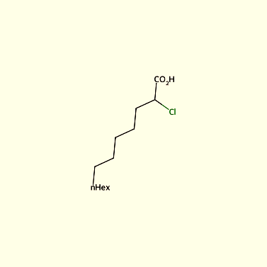 CCCCCCCCCCCC(Cl)C(=O)O